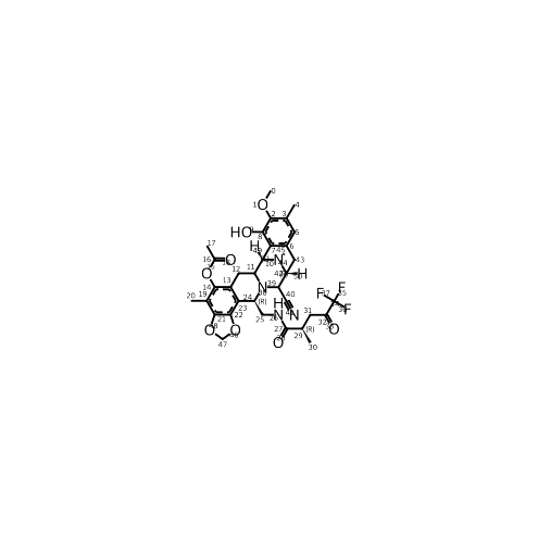 COc1c(C)cc2c(c1O)[C@H]1C3Cc4c(OC(C)=O)c(C)c5c(c4[C@H](CNC(=O)[C@H](C)CC(=O)C(F)(F)F)N3C(C#N)[C@@H](C2)N1C)OCO5